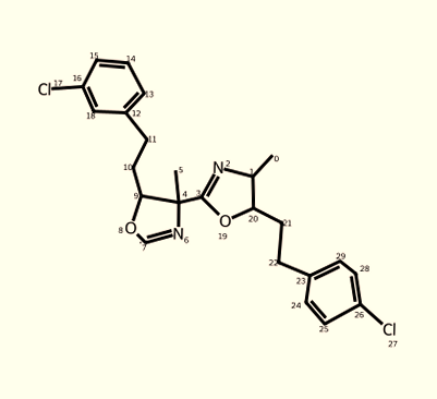 CC1N=C(C2(C)N=[C]OC2CCc2cccc(Cl)c2)OC1CCc1ccc(Cl)cc1